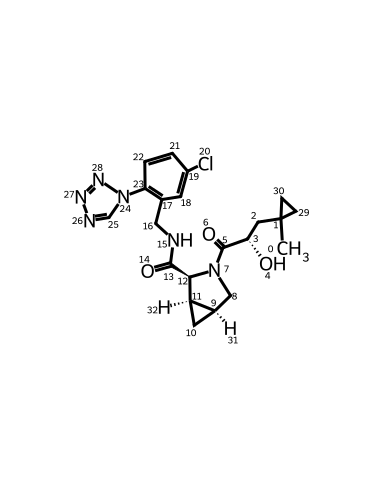 CC1(C[C@H](O)C(=O)N2C[C@H]3C[C@H]3[C@H]2C(=O)NCc2cc(Cl)ccc2-n2cnnn2)CC1